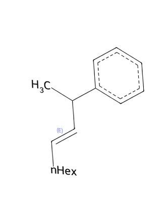 CCCCCC/C=C/C(C)c1ccccc1